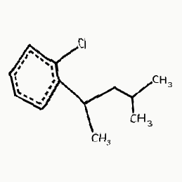 CC(C)CC(C)c1ccccc1Cl